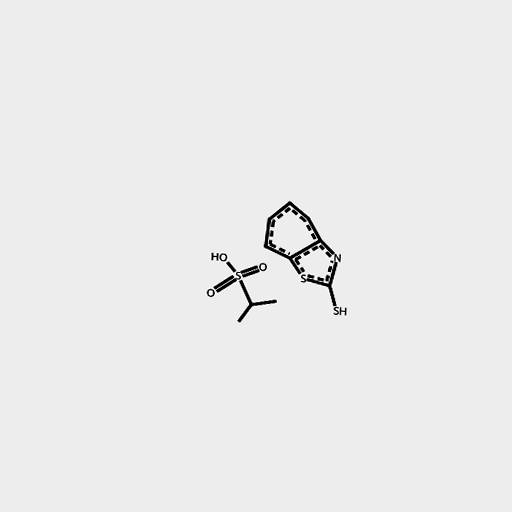 CC(C)S(=O)(=O)O.Sc1nc2ccccc2s1